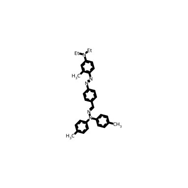 CCN(CC)c1ccc(N=Nc2ccc(C=NN(c3ccc(C)cc3)c3ccc(C)cc3)cc2)c(C)c1